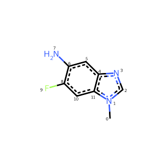 Cn1cnc2cc(N)c(F)cc21